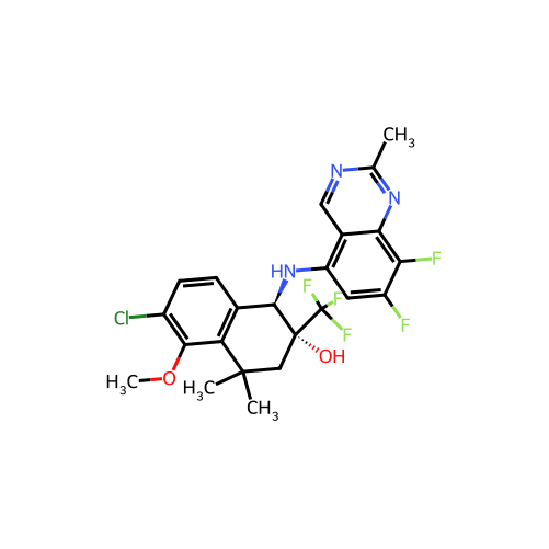 COc1c(Cl)ccc2c1C(C)(C)C[C@](O)(C(F)(F)F)[C@@H]2Nc1cc(F)c(F)c2nc(C)ncc12